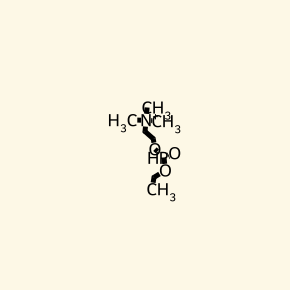 CCO[PH](=O)OCC[N+](C)(C)C